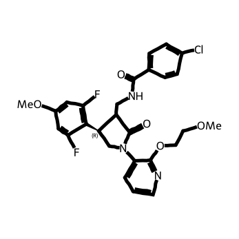 COCCOc1ncccc1N1C[C@@H](c2c(F)cc(OC)cc2F)C(CNC(=O)c2ccc(Cl)cc2)C1=O